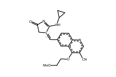 COCCOc1c(C#N)cnc2ccc(/C=S3/CC(=O)N=C3NC3CC3)cc12